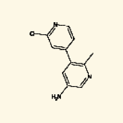 Cc1ncc(N)cc1-c1ccnc(Cl)c1